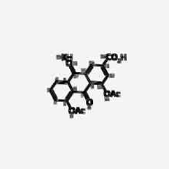 CC(=O)Oc1cccc2c1C(=O)c1c(OC(C)=O)cc(C(=O)O)cc1C2=O.[KH]